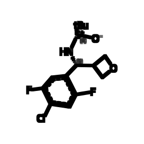 CC(C)(C)[S@+]([O-])N[C@@H](c1cc(F)c(Cl)cc1F)C1COC1